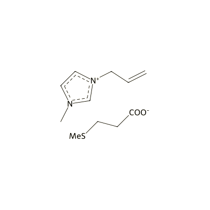 C=CC[n+]1ccn(C)c1.CSCCC(=O)[O-]